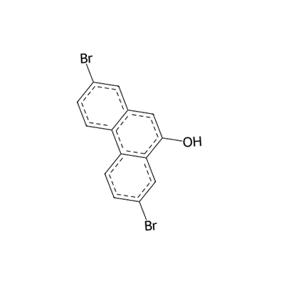 Oc1cc2cc(Br)ccc2c2ccc(Br)cc12